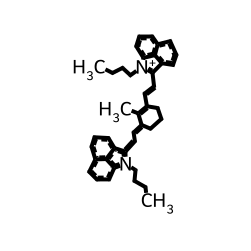 CCCCn1/c(=C/C=C2\CCCC(/C=C/C3=[N+](CCCC)c4cccc5cccc3c45)=C2C)c2cccc3cccc1c32